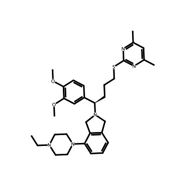 CCN1CCN(c2cccc3c2CN([C@H](CCCSc2nc(C)cc(C)n2)c2ccc(OC)c(OC)c2)C3)CC1